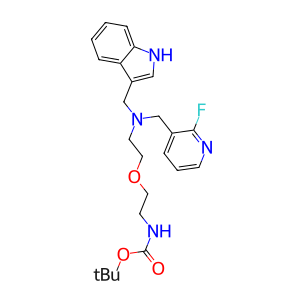 CC(C)(C)OC(=O)NCCOCCN(Cc1cccnc1F)Cc1c[nH]c2ccccc12